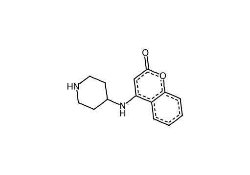 O=c1cc(NC2CCNCC2)c2ccccc2o1